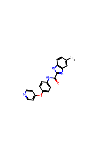 O=C(Nc1ccc(Oc2ccncc2)cc1)c1nc2cc(C(F)(F)F)ccc2[nH]1